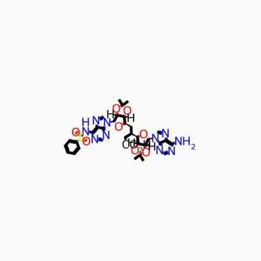 CC1(C)O[C@@H]2[C@H](O1)[C@@H](C(CC(=O)O)C[C@H]1O[C@@H](n3cnc4c(NS(=O)(=O)c5ccccc5)ncnc43)[C@@H]3OC(C)(C)O[C@@H]31)O[C@H]2n1cnc2c(N)ncnc21